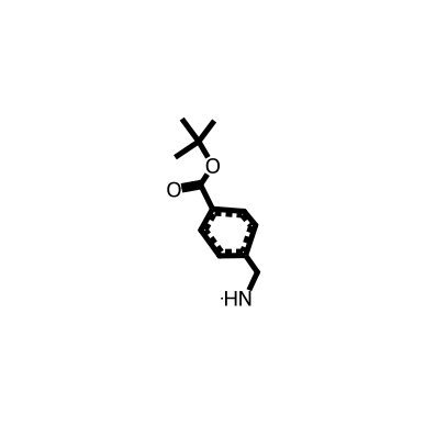 CC(C)(C)OC(=O)c1ccc(C[NH])cc1